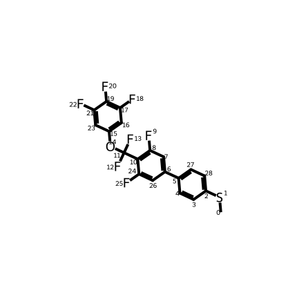 CSc1ccc(-c2cc(F)c(C(F)(F)Oc3cc(F)c(F)c(F)c3)c(F)c2)cc1